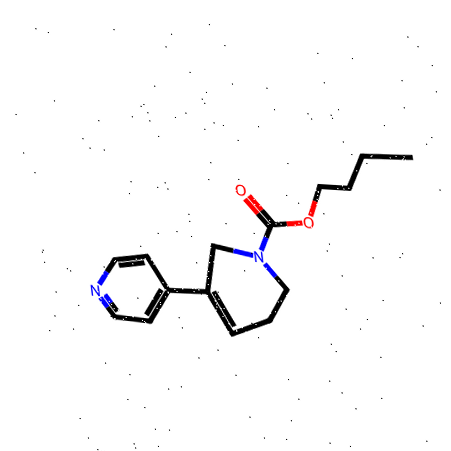 CCCCOC(=O)N1CCC=C(c2ccncc2)C1